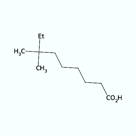 CCC(C)(C)CCCCCC(=O)O